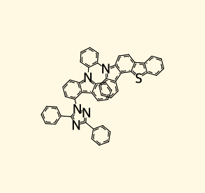 c1ccc(-c2nc(-c3ccccc3)n(-c3cccc4c3c3ccccc3n4-c3ccccc3-n3c4ccccc4c4c5sc6ccccc6c5ccc43)n2)cc1